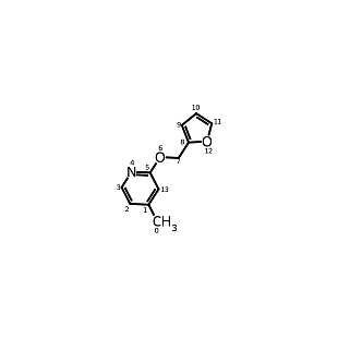 Cc1ccnc(OCc2ccco2)c1